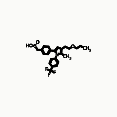 CCCOCCc1cc(-c2ccc(CS(=O)O)cc2)n(-c2ccc(C(F)(F)F)cc2)c1C